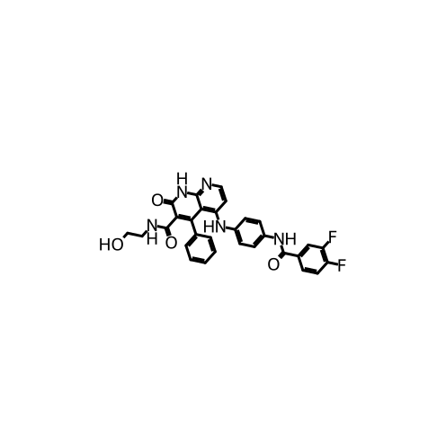 O=C(Nc1ccc(Nc2ccnc3[nH]c(=O)c(C(=O)NCCO)c(-c4ccccc4)c23)cc1)c1ccc(F)c(F)c1